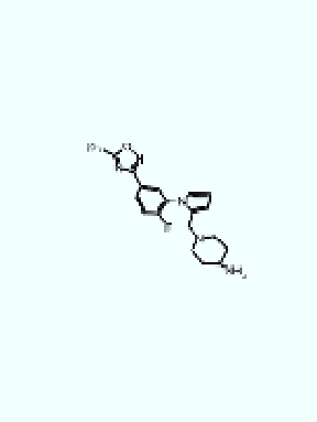 CC(C)c1nc(-c2ccc(F)c(-n3cccc3CN3CCC(N)CC3)c2)no1